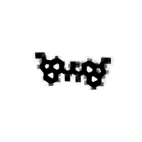 N=C(Nc1ccc2c3c(cccc13)CC2O)Nc1ccc2c3c(cccc13)CC2O